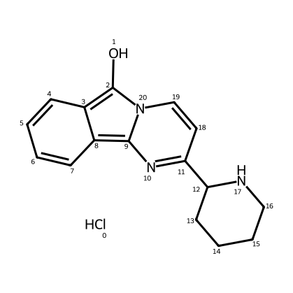 Cl.Oc1c2ccccc2c2nc(C3CCCCN3)ccn12